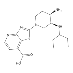 CCC(CC)N[C@H]1CN(c2nc3nccc(C(=O)O)c3s2)CC[C@H]1N